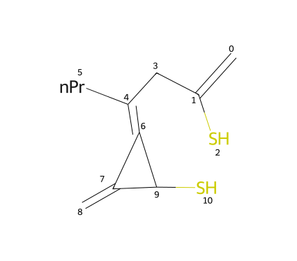 C=C(S)C/C(CCC)=C1/C(=C)C1S